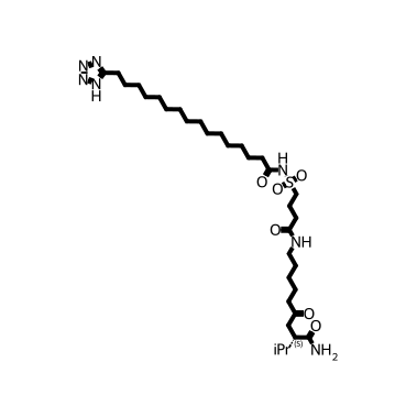 CC(C)[C@H](CC(=O)CCCCCNC(=O)CCCS(=O)(=O)NC(=O)CCCCCCCCCCCCCCCc1nnn[nH]1)C(N)=O